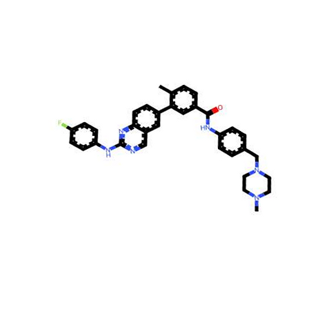 Cc1ccc(C(=O)Nc2ccc(CN3CCN(C)CC3)cc2)cc1-c1ccc2nc(Nc3ccc(F)cc3)ncc2c1